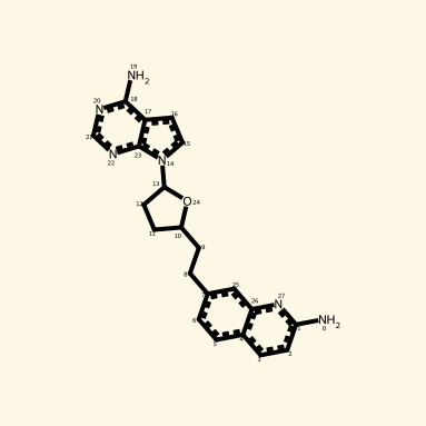 Nc1ccc2ccc(CCC3CCC(n4ccc5c(N)ncnc54)O3)cc2n1